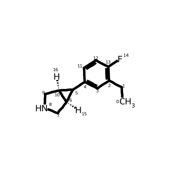 CCc1cc(C2[C@H]3CNC[C@@H]23)ccc1F